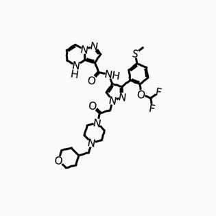 CSc1ccc(OC(F)F)c(-c2nn(CC(=O)N3CCN(CC4CCOCC4)CC3)cc2NC(=O)c2cnn3c2NCC=C3)c1